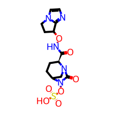 O=C(NOC1CCn2ccnc21)[C@@H]1CCC2CN1C(=O)N2OS(=O)(=O)O